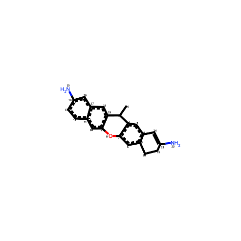 CC1c2cc3c(cc2Oc2cc4ccc(N)cc4cc21)CCC(N)=C3